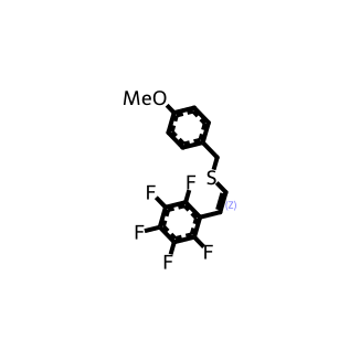 COc1ccc(CS/C=C\c2c(F)c(F)c(F)c(F)c2F)cc1